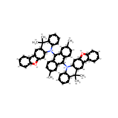 Cc1ccc2c(N3c4ccccc4C(C)(C)c4cc5c(cc43)oc3ccccc35)c3cc(C)ccc3c(N3c4ccccc4C(C)(C)c4cc5c(cc43)oc3ccccc35)c2c1